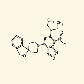 CCN(CC)c1cc(N2CCC3(CC2)OCc2ccccc23)c2nonc2c1[N+](=O)[O-]